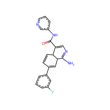 NC1=NC=C(C(=O)Nc2cccnc2)C2C=CC(c3cccc(F)c3)=CC12